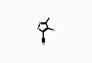 CC1=N[N]C(C#N)=C1Cl